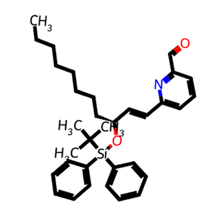 CCCCCCCC[C@@H](/C=C/c1cccc(C=O)n1)O[Si](c1ccccc1)(c1ccccc1)C(C)(C)C